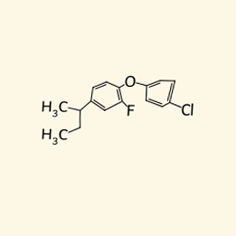 CCC(C)c1ccc(Oc2ccc(Cl)cc2)c(F)c1